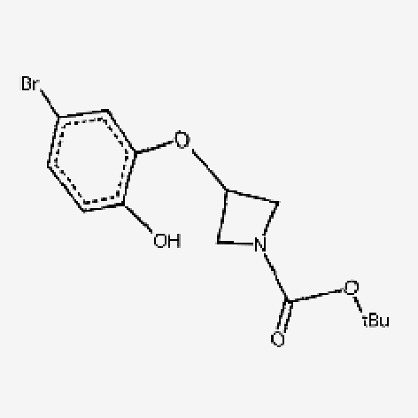 CC(C)(C)OC(=O)N1CC(Oc2cc(Br)ccc2O)C1